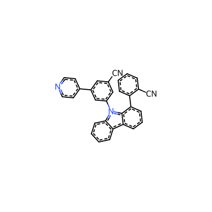 N#Cc1cc(-c2ccncc2)cc(-n2c3ccccc3c3cccc(-c4ccccc4C#N)c32)c1